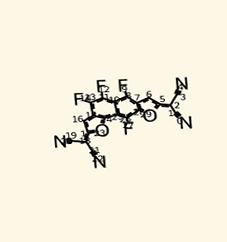 N#CC(C#N)=c1cc2c(F)c3c(F)c(F)c4cc(=C(C#N)C#N)oc4c3c(F)c2o1